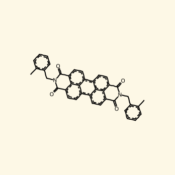 Cc1ccccc1CN1C(=O)c2ccc3c4ccc5c6c(ccc(c7ccc(c2c37)C1=O)c64)C(=O)N(Cc1ccccc1C)C5=O